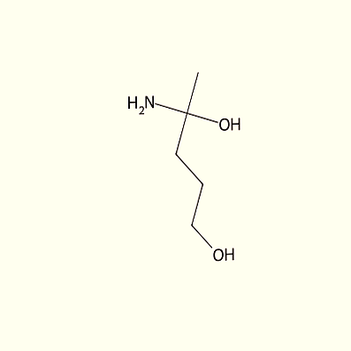 CC(N)(O)CCCO